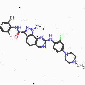 CCc1cccc(CC)c1NC(=O)c1nn(C)c2c1CCc1cnc(Nc3ccc(N4CCN(C)CC4)cc3Cl)nc1-2